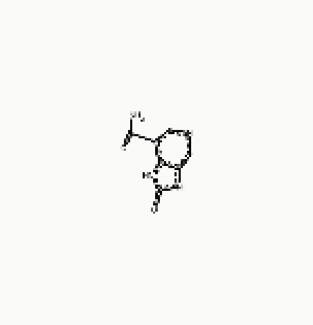 NC(=O)c1cncc2[nH]c(=O)[nH]c12